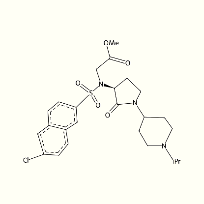 COC(=O)CN([C@H]1CCN(C2CCN(C(C)C)CC2)C1=O)S(=O)(=O)c1ccc2cc(Cl)ccc2c1